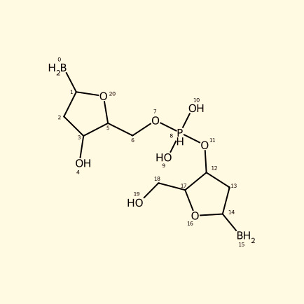 BC1CC(O)C(CO[PH](O)(O)OC2CC(B)OC2CO)O1